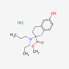 CCCN(CCC)C1(C(=O)OC)CCc2cc(O)ccc2C1.Cl